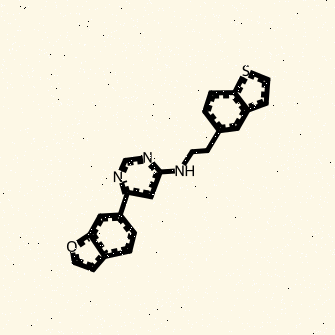 c1nc(NCCc2ccc3sccc3c2)cc(-c2ccc3ccoc3c2)n1